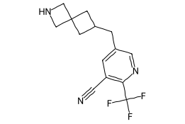 N#Cc1cc(CC2CC3(CNC3)C2)cnc1C(F)(F)F